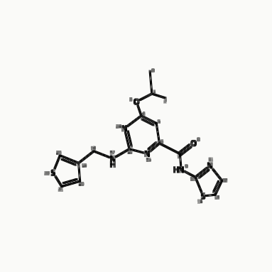 CC(C)Oc1cc(C(=O)Nc2nccs2)nc(NCc2ccsc2)n1